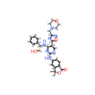 CC1(C)OC(=O)c2ccc(Nc3ncc(-c4nc(CN5CCOCC5)no4)c(N[C@H](CO)c4ccccc4)n3)cc21